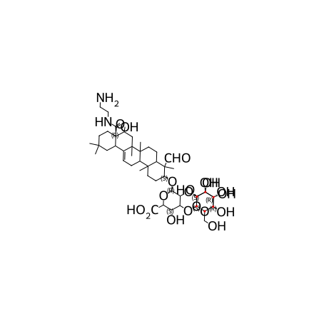 CC1(C)CC[C@]2(C(=O)NCCN)C(O)CC3(C)C(=CCC4C5(C)CC[C@H](O[C@@H]6OC(C(=O)O)[C@@H](O)C(O[C@@H]7OC[C@@H](O)C(O)C7O)C6O[C@@H]6OC(CO)[C@H](O)C(O)C6O)C(C)(C=O)C5CCC43C)C2C1